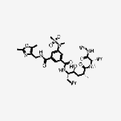 Cc1nc(CNC(=O)c2cc(C(=O)N[C@@H](CC(C)C)[C@@H](O)C[C@@H](C)C(=O)N[C@H](C(=O)NC(C)C)C(C)C)cc(N(C)S(C)(=O)=O)c2)c(C)o1